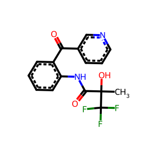 CC(O)(C(=O)Nc1ccccc1C(=O)c1cccnc1)C(F)(F)F